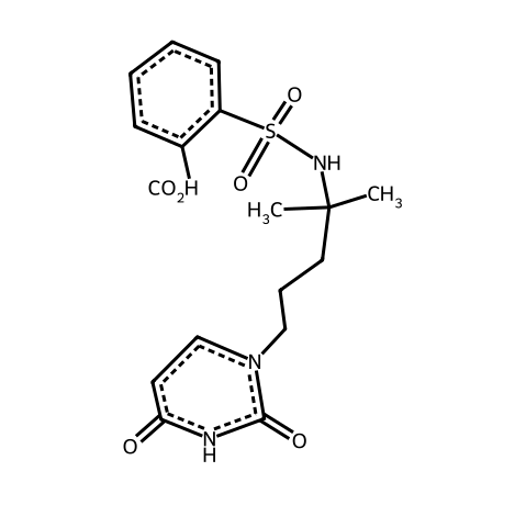 CC(C)(CCCn1ccc(=O)[nH]c1=O)NS(=O)(=O)c1ccccc1C(=O)O